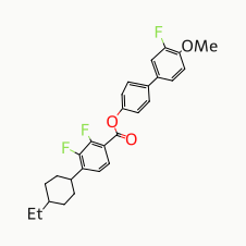 CCC1CCC(c2ccc(C(=O)Oc3ccc(-c4ccc(OC)c(F)c4)cc3)c(F)c2F)CC1